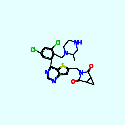 CC1CNCCN1Cc1c(Cl)cc(Cl)cc1-c1ncnc2cc(CN3C(=O)C4CC4C3=O)sc12